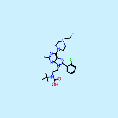 Cc1nc(N2CCN(CCF)CC2)c2nc(-c3ccccc3Cl)n(CCN(C(=O)O)C(C)(C)C)c2n1